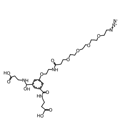 [N-]=[N+]=NCCOCCOCCOCCOCCC(=O)NCCOc1cc(C(=O)NCCC(=O)O)cc(C(O)NCCC(=O)O)c1